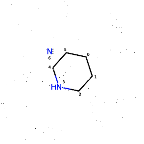 C1CCNCC1.[N]